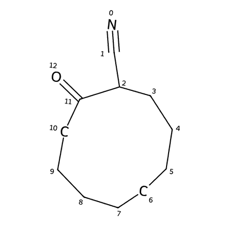 N#CC1CCCCCCCCC1=O